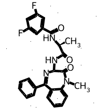 C[C@H](NC(=O)c1cc(F)cc(F)c1)C(=O)NC1N=C(c2ccccc2)c2ccccc2N(C)C1=O